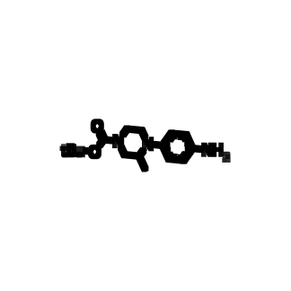 CC1CN(C(=O)OC(C)(C)C)CCN1c1ccc(N)cc1